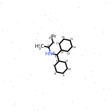 CC(C)CC(C)NC(C1CCCCC1)C1CCCCC1